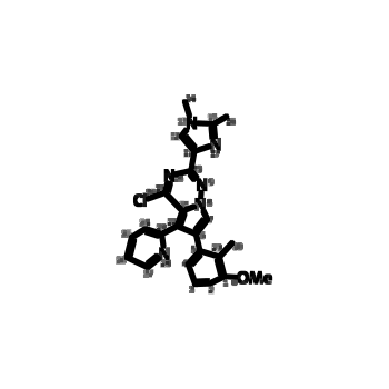 COc1cccc(-c2cn3nc(-c4cn(C)c(C)n4)nc(Cl)c3c2-c2ccccn2)c1C